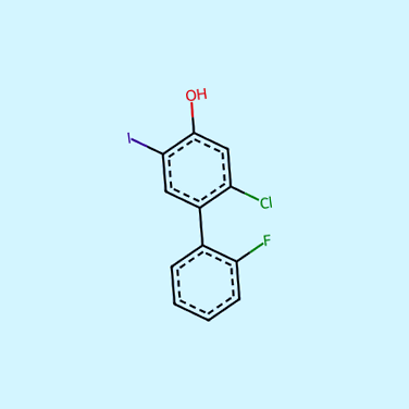 Oc1cc(Cl)c(-c2ccccc2F)cc1I